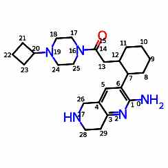 Nc1nc2c(cc1C1CCCCC1CC(=O)N1CCN(C3CCC3)CC1)CNCC2